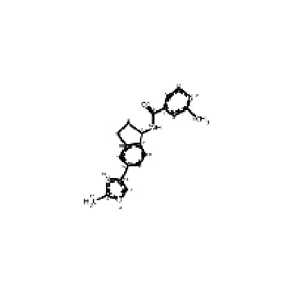 Cc1cc(C(=O)NC2CCc3cc(-c4coc(C)n4)ccc32)ccn1